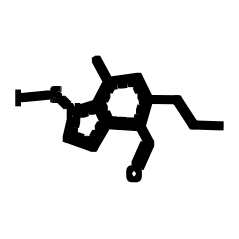 CCCc1cc(C)c2c(ccn2SI)c1C=O